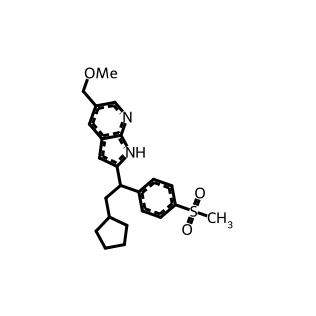 COCc1cnc2[nH]c(C(CC3CCCC3)c3ccc(S(C)(=O)=O)cc3)cc2c1